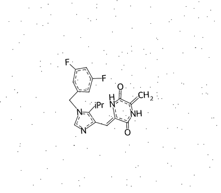 C=c1[nH]c(=O)c(=Cc2ncn(Cc3cc(F)cc(F)c3)c2C(C)C)[nH]c1=O